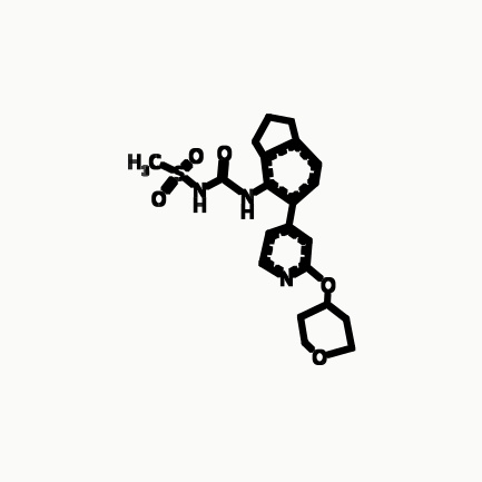 CS(=O)(=O)NC(=O)Nc1c(-c2ccnc(OC3CCOCC3)c2)ccc2c1CCC2